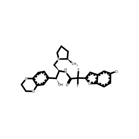 C[C@@H]1CCCN1C[C@@H](NC(=O)C(F)(F)c1cc2cc(Cl)ccc2o1)[C@H](O)c1ccc2c(c1)OCCO2